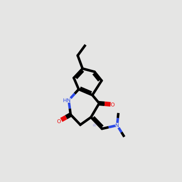 CCc1ccc2c(c1)NC(=O)C/C(=C/N(C)C)C2=O